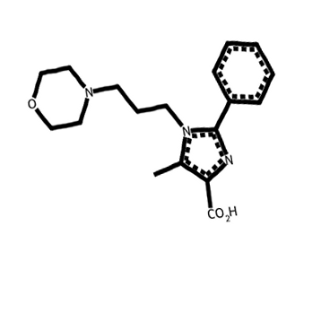 Cc1c(C(=O)O)nc(-c2ccccc2)n1CCCN1CCOCC1